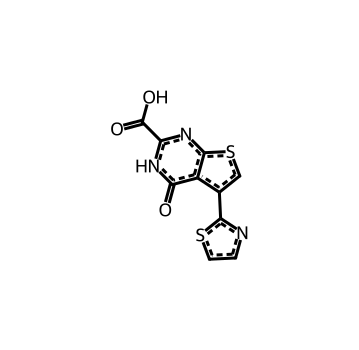 O=C(O)c1nc2scc(-c3nccs3)c2c(=O)[nH]1